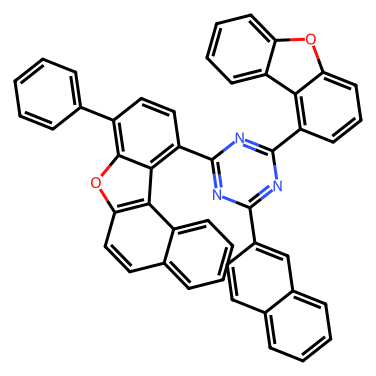 c1ccc(-c2ccc(-c3nc(-c4ccc5ccccc5c4)nc(-c4cccc5oc6ccccc6c45)n3)c3c2oc2ccc4ccccc4c23)cc1